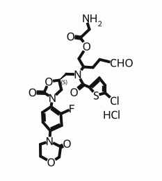 Cl.NCC(=O)OCC(CCC=O)N(C[C@H]1CN(c2ccc(N3CCOCC3=O)cc2F)C(=O)O1)C(=O)c1ccc(Cl)s1